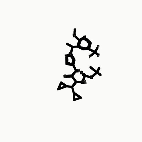 COc1ncc(C(F)(F)F)cc1C(C)n1cc(NC(=O)[C@@H](NC(=O)OC(C)(C)C)C(C2CC2)C2CC2)cn1